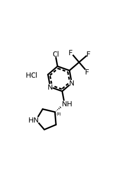 Cl.FC(F)(F)c1nc(N[C@@H]2CCNC2)ncc1Cl